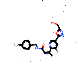 C/C(=C/C(=O)NCc1ccc(C(F)(F)F)cc1)c1ncc(-c2nnc(CO)o2)cc1Cl